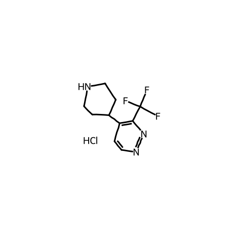 Cl.FC(F)(F)c1nnccc1C1CCNCC1